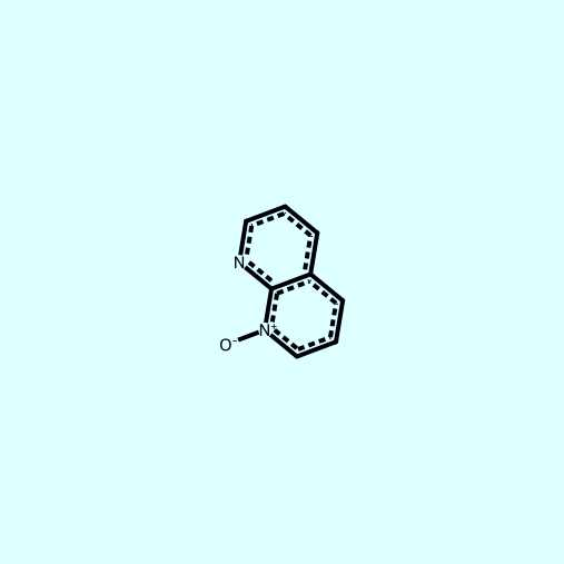 [O-][n+]1cccc2cccnc21